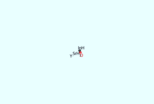 [O]=[InH].[SrH2].[Y]